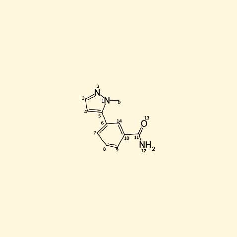 Cn1nccc1-c1cccc(C(N)=O)c1